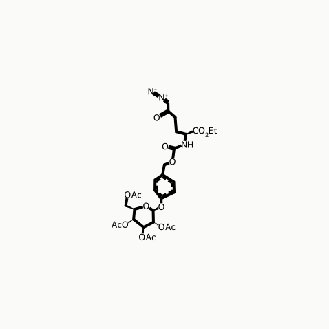 CCOC(=O)[C@H](CCC(=O)C=[N+]=[N-])NC(=O)OCc1ccc(O[C@@H]2O[C@H](COC(C)=O)[C@@H](OC(C)=O)[C@H](OC(C)=O)[C@H]2OC(C)=O)cc1